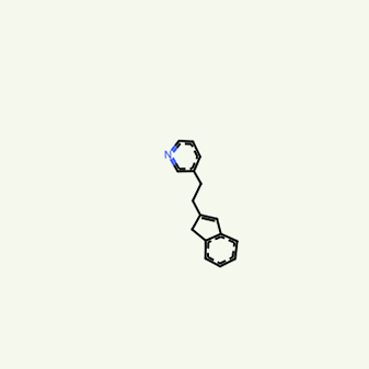 C1=C(CCc2cccnc2)Cc2ccccc21